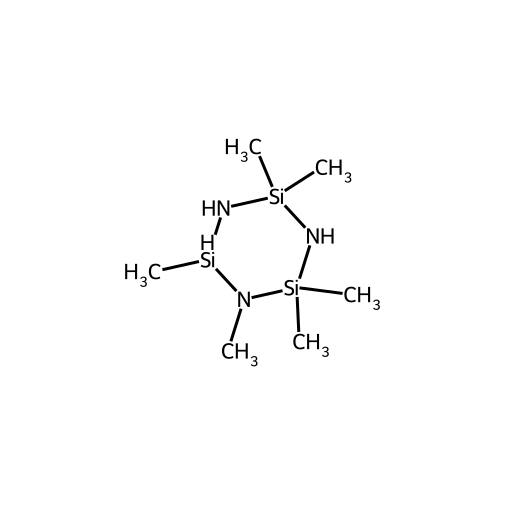 CN1[SiH](C)N[Si](C)(C)N[Si]1(C)C